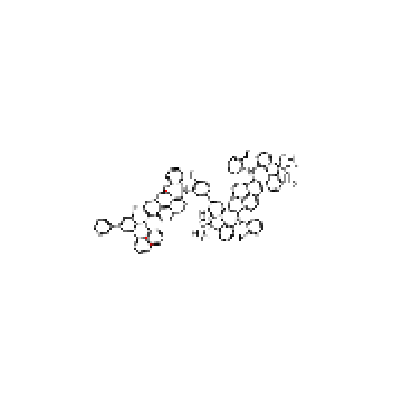 CC1(C)c2ccccc2-c2c(N(c3ccccc3F)c3ccc4ccc5c(N(c6ccccc6F)c6cccc7c6-c6ccc(-c8ccc(F)c(N(c9ccccc9F)c9ccc%10ccc%11c(N(c%12ccccc%12)c%12c(F)cc(-c%13ccccc%13)cc%12-c%12ccccc%12)ccc%12ccc9c%10c%12%11)c8)cc6C7(C)C)ccc6ccc3c4c65)cccc21